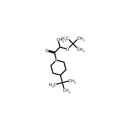 CC(OC(C)(C)C)C(=O)N1CCC(C(C)(C)C)CC1